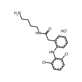 Cl.NCCCCNC(=O)Cc1ccccc1Nc1c(Cl)cccc1Cl